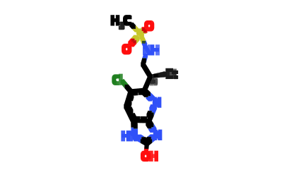 CC[C@H](CNS(C)(=O)=O)c1nc2nc(O)[nH]c2cc1Cl